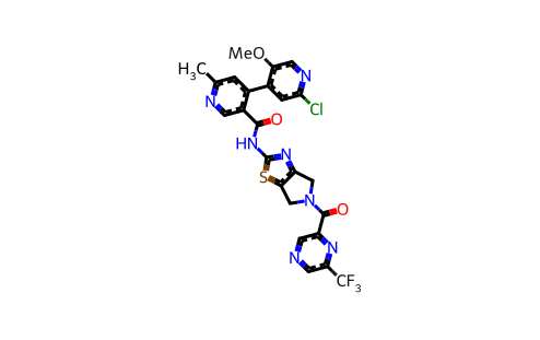 COc1cnc(Cl)cc1-c1cc(C)ncc1C(=O)Nc1nc2c(s1)CN(C(=O)c1cncc(C(F)(F)F)n1)C2